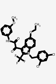 CCOc1ccc2c(c1)c(C(=O)C(=O)Nc1cccc(OC)c1)c(C(F)(F)F)n2Cc1ccc(Cl)cc1Cl